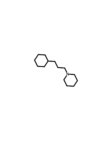 C1CCC(CCCN2CCCCC2)CC1